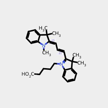 CN1/C(=C\C=C\C2=[N+](CCCCC(=O)O)c3ccccc3C2(C)C)C(C)(C)c2ccccc21